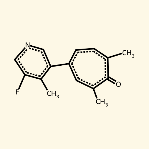 Cc1c(F)cncc1-c1ccc(C)c(=O)c(C)c1